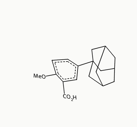 COc1ccc(C23CC4CC(CC(C4)C2)C3)cc1C(=O)O